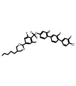 CCCCCC1COC(c2cc(F)c(C(F)(F)Oc3ccc(-c4ccc(-c5ccc(Cl)c(F)c5)c(F)c4)c(F)c3)c(F)c2)OC1